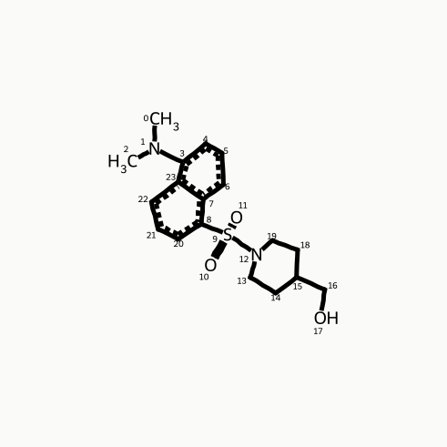 CN(C)c1cccc2c(S(=O)(=O)N3CCC(CO)CC3)cccc12